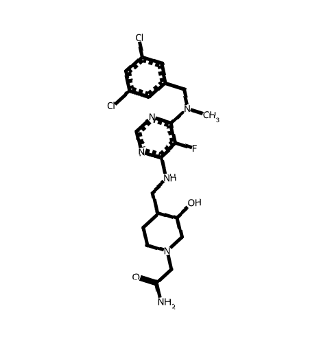 CN(Cc1cc(Cl)cc(Cl)c1)c1ncnc(NCC2CCN(CC(N)=O)CC2O)c1F